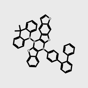 CC1(C)c2ccccc2N(B2c3oc4ccccc4c3B(c3ccc(-c4ccccc4-c4ccccc4)cc3)c3oc4cc5occc5cc4c32)c2ccccc21